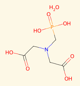 O.O=C(O)CN(CC(=O)O)CP(=O)(O)O